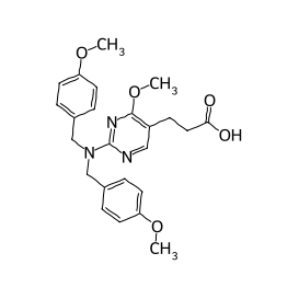 COc1ccc(CN(Cc2ccc(OC)cc2)c2ncc(CCC(=O)O)c(OC)n2)cc1